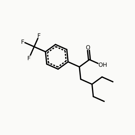 CCC(CC)CC(C(=O)O)c1ccc(C(F)(F)F)cc1